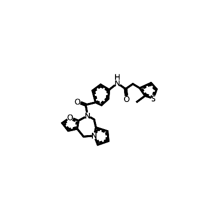 Cc1sccc1CC(=O)Nc1ccc(C(=O)N2Cc3cccn3Cc3ccoc32)cc1